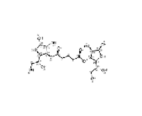 O=C(CCCC(=O)O[C@@H]1[C@@H](O)[C@@H](O)O[C@@H]1[C@H](O)CO)O[C@@H]1[C@@H](O)[C@@H](O)O[C@@H]1[C@H](O)CO